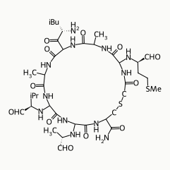 CC[C@@H](C)[C@H](N)C(=O)C1NC(=O)C(C)NC(=O)C(N[C@@H](C=O)CCSC)NC(=O)CSCC(C(N)=O)NC(=O)C(N[C@@H](C)C=O)NC(=O)C(N[C@@H](C=O)C(C)C)NC(=O)C(C)NC1=O